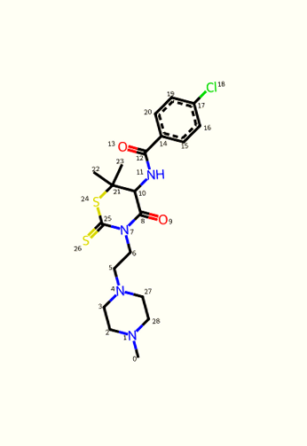 CN1CCN(CCN2C(=O)C(NC(=O)c3ccc(Cl)cc3)C(C)(C)SC2=S)CC1